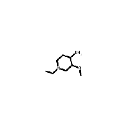 CCN1CCC(N)C(OC)C1